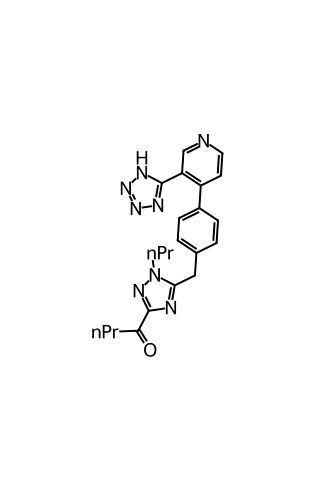 CCCC(=O)c1nc(Cc2ccc(-c3ccncc3-c3nnn[nH]3)cc2)n(CCC)n1